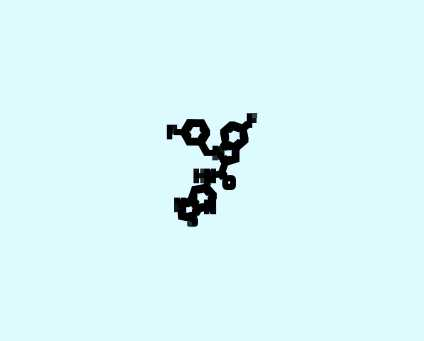 O=C(Nc1cnc2scnc2c1)c1cc2cc(F)ccc2n1Cc1cccc(F)c1